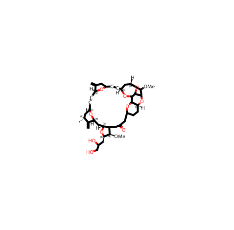 C=C1CC2CC[C@H]3C[C@H]4OC5C(O3)C3OC(CC[C@@H]3OC5C4OC)CC(=O)CC3[C@H](C[C@H]4O[C@@H](CC[C@@H]1O2)C[C@@H](C)C4=C)O[C@H](CC(O)CO)[C@@H]3OC